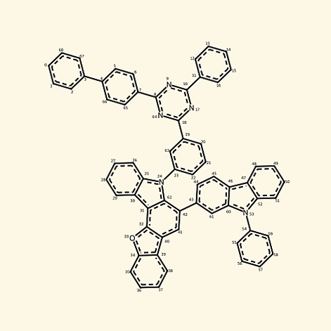 c1ccc(-c2ccc(-c3nc(-c4ccccc4)nc(-c4cccc(-n5c6ccccc6c6c7oc8ccccc8c7cc(-c7ccc8c9ccccc9n(-c9ccccc9)c8c7)c65)c4)n3)cc2)cc1